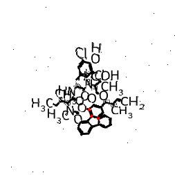 C=C[C@@H](C)[C@H](OC(=O)[C@@H](NC(=O)[C@@H](Cc1cc(Cl)c(O)c(Cl)c1)NC(=O)[C@H]([C@@H](C)CC)N(C)C(=O)OCC1c2ccccc2-c2ccccc21)C(C)(C)O)c1ccccc1